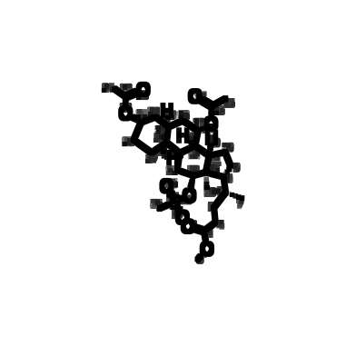 COC(=O)CC[C@@H](C)[C@H]1CC[C@H]2[C@@H]3[C@@H](OC(C)=O)C[C@@H]4C[C@H](OC(C)=O)CC[C@]4(C)[C@H]3C[C@H](OS(C)(=O)=O)[C@]12C